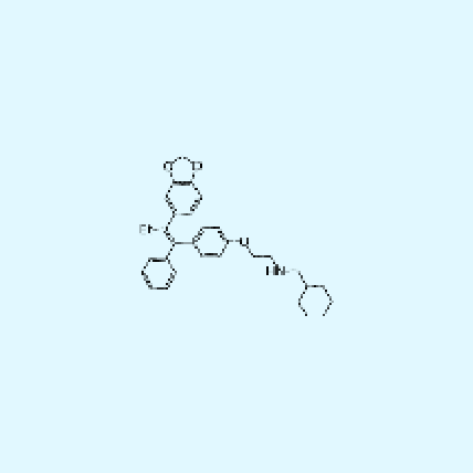 CCC(=C(c1ccccc1)c1ccc(OCCNCC2CCCCC2)cc1)c1ccc2c(c1)OCO2